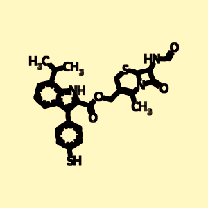 CC1=C(COC(=O)c2[nH]c3c(C(C)C)cccc3c2-c2ccc(S)cc2)CSC2C(NC=O)C(=O)N12